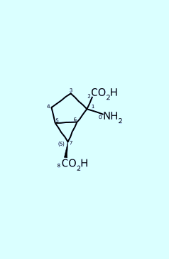 NC1(C(=O)O)CCC2C1[C@H]2C(=O)O